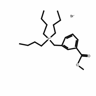 CCCC[P+](CCCC)(CCCC)Cc1cccc(C(=O)OC)c1.[Br-]